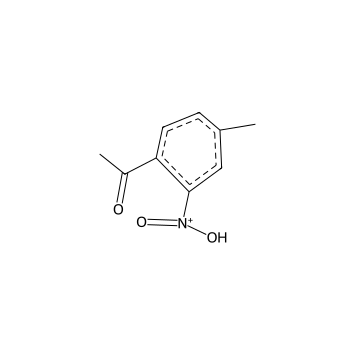 CC(=O)c1ccc(C)cc1[N+](=O)O